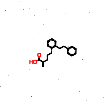 C=C(CCCc1ccccc1CCc1ccccc1)C(=O)O